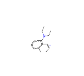 C/C=C\c1c(C)cccc1N(CC)CC